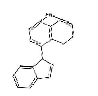 [c]1c2[nH]c3ccc(C4C=Cc5ccccc54)c(c13)CC2